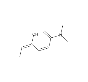 C=C(/C=C\C(O)=C/C)N(C)C